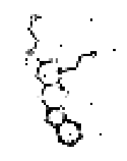 O=C(CC(Sc1nc2ccccc2s1)C(=O)NCCO)NCCO